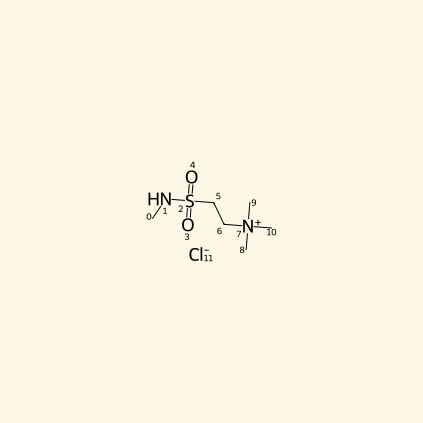 CNS(=O)(=O)CC[N+](C)(C)C.[Cl-]